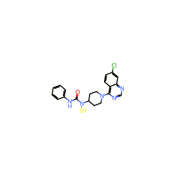 O=C(Nc1ccccc1)N(S)C1CCN(c2ncnc3cc(Cl)ccc23)CC1